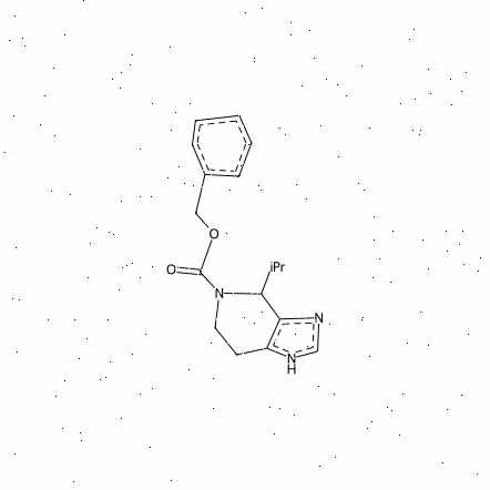 CC(C)C1c2nc[nH]c2CCN1C(=O)OCc1ccccc1